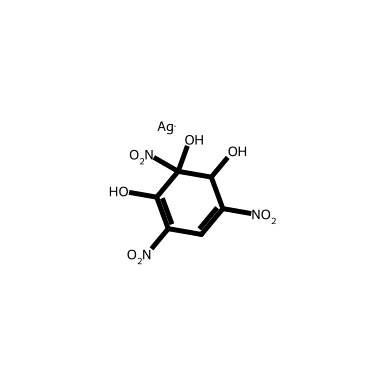 O=[N+]([O-])C1=CC([N+](=O)[O-])=C(O)C(O)([N+](=O)[O-])C1O.[Ag]